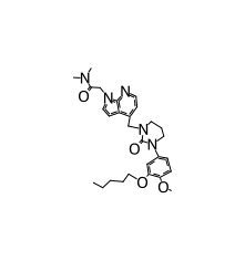 CCCCCOc1cc(N2CCCN(Cc3ccnc4c3ccn4CC(=O)N(C)C)C2=O)ccc1OC